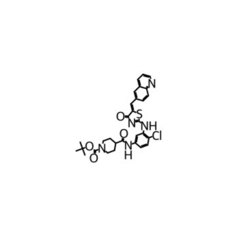 CC(C)(C)OC(=O)N1CCC(C(=O)Nc2ccc(Cl)c(NC3=NC(=O)/C(=C/c4ccc5ncccc5c4)S3)c2)CC1